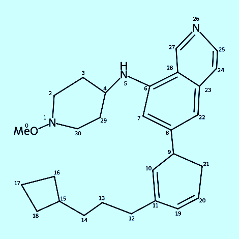 CON1CCC(Nc2cc(C3C=C(CCCC4CCC4)C=CC3)cc3ccncc23)CC1